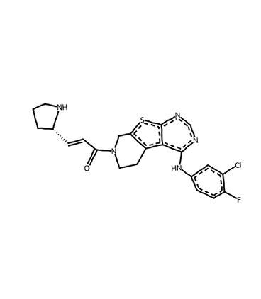 O=C(C=C[C@@H]1CCCN1)N1CCc2c(sc3ncnc(Nc4ccc(F)c(Cl)c4)c23)C1